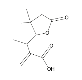 C=C(C(=O)O)C(C)C1OC(=O)CC1(C)C